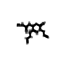 C=CCOC(=O)CC(OC(=O)OC)C(=O)OCC=C